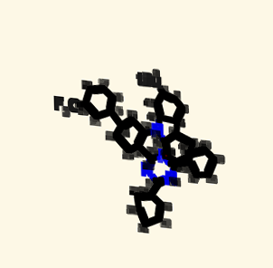 CC(C)(C)c1ccc2c3ccccc3n(-c3cc(-c4cccc(C(F)(F)F)c4)ccc3-c3nc(-c4ccccc4)nc(-c4ccccc4)n3)c2c1